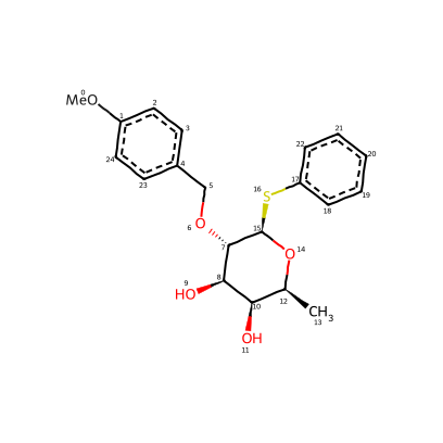 COc1ccc(CO[C@H]2[C@H](O)[C@H](O)[C@H](C)O[C@@H]2Sc2ccccc2)cc1